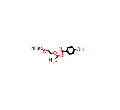 CCCCCCOCCOC(C)OC(=O)c1ccc(O)cc1